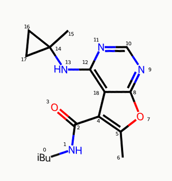 CCC(C)NC(=O)c1c(C)oc2ncnc(NC3(C)CC3)c12